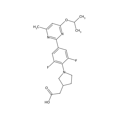 Cc1cc(OC(C)C)nc(-c2cc(F)c(N3CCC(CC(=O)O)C3)c(F)c2)n1